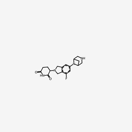 O=C1CCC(N2Cc3cc(N4C5CNCC4C5)cc(F)c3C2)C(=O)N1